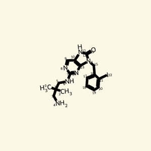 CC(C)(CN)CNc1ncc2[nH]c(=O)n(Cc3ccccc3I)c2n1